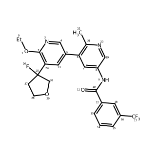 CCOc1ncc(-c2cc(NC(=O)c3cccc(C(F)(F)F)c3)cnc2C)cc1C1(F)CCOC1